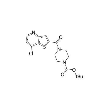 CC(C)(C)OC(=O)N1CCN(C(=O)c2cc3nccc(Cl)c3s2)CC1